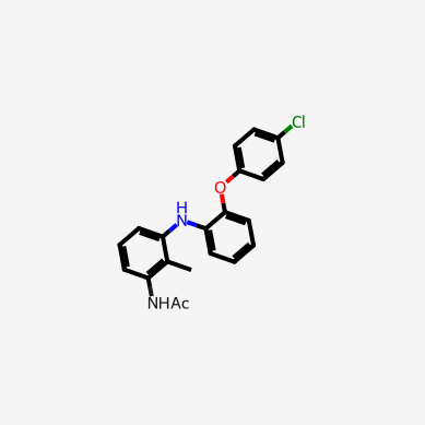 CC(=O)Nc1cccc(Nc2ccccc2Oc2ccc(Cl)cc2)c1C